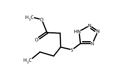 CCC[C](CC(=O)OC)Sc1nnn[nH]1